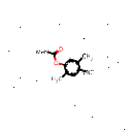 [C-]#[N+]c1cc(C)c(OC(=O)NC)cc1C